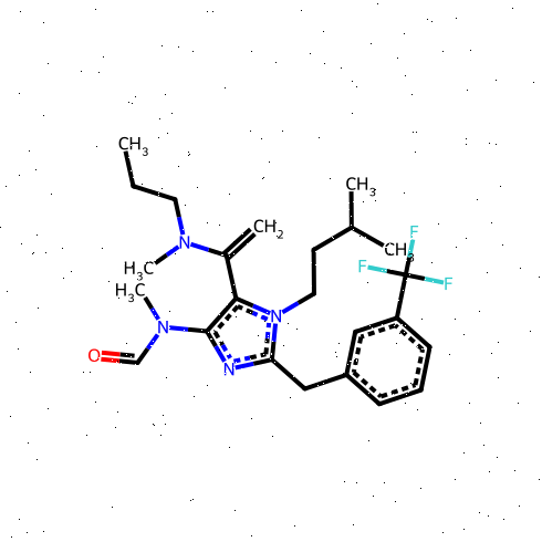 C=C(c1c(N(C)C=O)nc(Cc2cccc(C(F)(F)F)c2)n1CCC(C)C)N(C)CCC